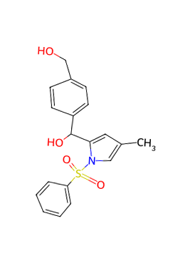 Cc1cc(C(O)c2ccc(CO)cc2)n(S(=O)(=O)c2ccccc2)c1